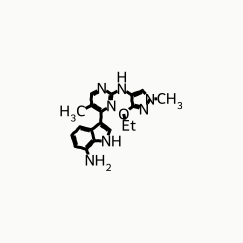 CCOc1nn(C)cc1Nc1ncc(C)c(-c2c[nH]c3c(N)cccc23)n1